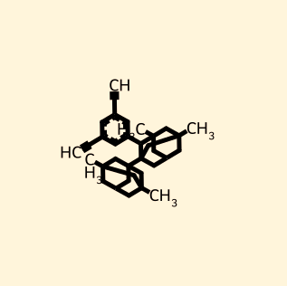 C#Cc1cc(C#C)cc(C2C3(C)CC4CC(C)(C3)CC2(C23CC5CC(C)(CC(C)(C5)C2)C3)C4)c1